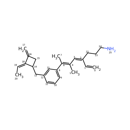 C=C/C(=C\C(C)=C(/C)c1cccc(CC2CC(=C)/C2=C/C)c1)CCCN